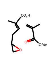 C=C(C)C(=O)OC.CC(=CCC1CO1)C(=O)O